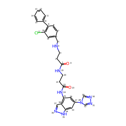 O=C(CCNCc1ccc(-c2ccccc2)c(Cl)c1)NCCC(=O)Nc1cc(-n2cnnc2)cc2[nH]ncc12